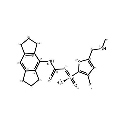 CNCc1cc(F)c([S@](N)(=O)=NC(=O)Nc2c3c(cc4c2CCC4)CCC3)s1